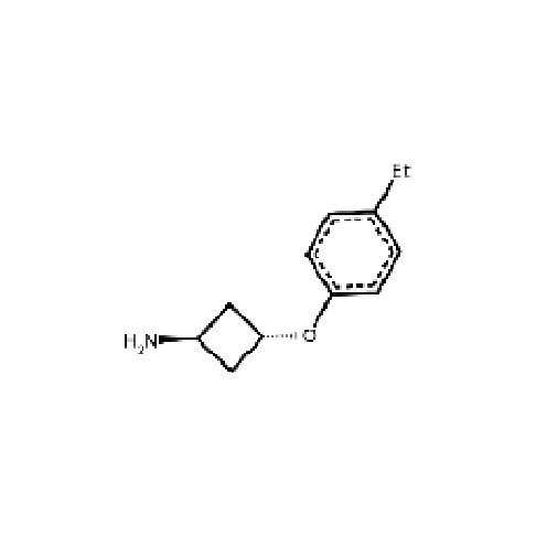 CCc1ccc(O[C@H]2C[C@H](N)C2)cc1